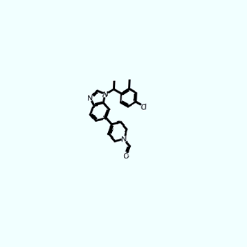 Cc1cc(Cl)ccc1C(C)n1cnc2ccc(C3=CCN(C=O)CC3)cc21